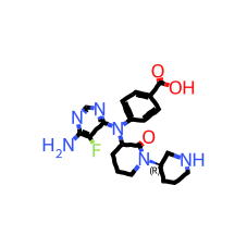 Nc1ncnc(N(c2ccc(C(=O)O)cc2)C2CCCN([C@@H]3CCCNC3)C2=O)c1F